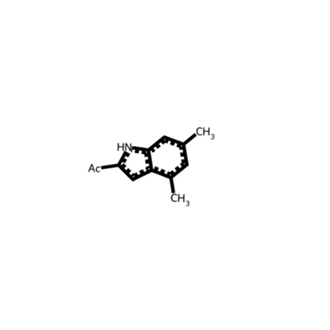 CC(=O)c1cc2c(C)cc(C)cc2[nH]1